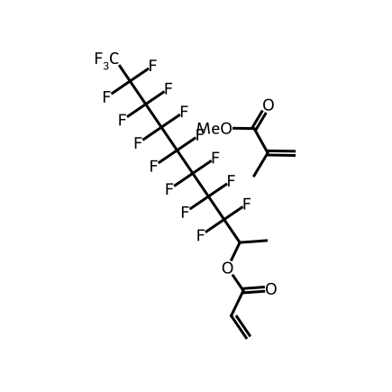 C=C(C)C(=O)OC.C=CC(=O)OC(C)C(F)(F)C(F)(F)C(F)(F)C(F)(F)C(F)(F)C(F)(F)C(F)(F)C(F)(F)F